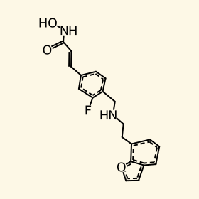 O=C(/C=C/c1ccc(CNCCc2cccc3ccoc23)c(F)c1)NO